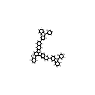 c1ccc(-n2c3ccccc3c3cc(-c4ccc5cc6c7cc8oc9ccccc9c8c8c9cc%10ccc(-c%11ccc%12c(c%11)c%11ccccc%11n%12-c%11ccccc%11)cc%10cc9n(c6cc5c4)c78)ccc32)cc1